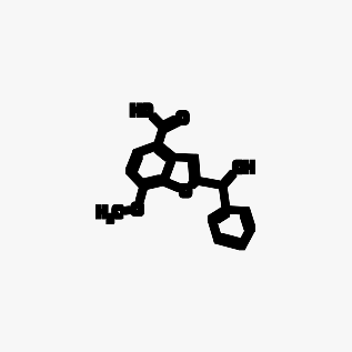 COc1ccc(C(=O)O)c2cc(C(O)c3ccccc3)oc12